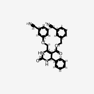 N#Cc1cccc(COC(=O)C2=C(COc3cccc(C#N)c3)NC(=O)NC2c2ccccc2)c1